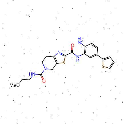 COCCNC(=O)N1CCc2nc(C(=O)Nc3cc(-c4cccs4)ccc3N)sc2C1